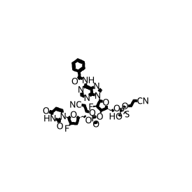 N#CCCOP(=O)(OC[C@@H]1C[C@@H](F)[C@H](n2ccc(=O)[nH]c2=O)O1)O[C@H]1[C@@H](F)[C@H](n2cnc3c(NC(=O)c4ccccc4)ncnc32)O[C@@H]1COP(O)(=S)OCCC#N